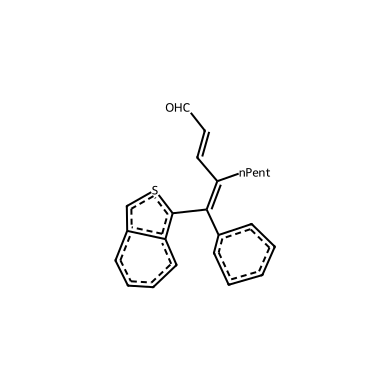 CCCCCC(C=CC=O)=C(c1ccccc1)c1scc2ccccc12